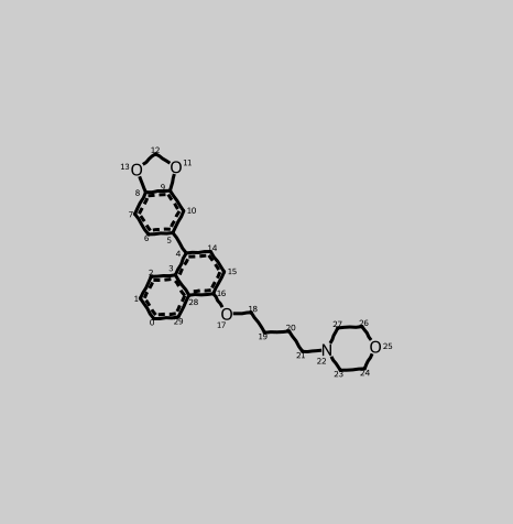 c1ccc2c(-c3ccc4c(c3)OCO4)ccc(OCCCCN3CCOCC3)c2c1